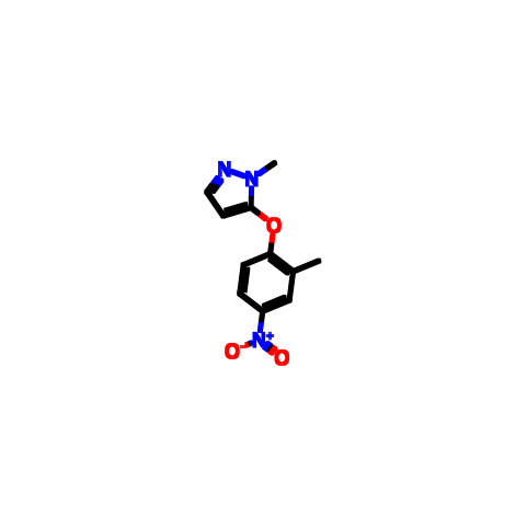 Cc1cc([N+](=O)[O-])ccc1Oc1ccnn1C